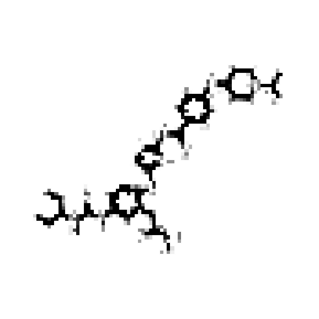 CCC(CC)NC(=O)Nc1ccc(Oc2cnc(NC(=O)c3ccc(OC4CCN(C(C)C)CC4)cc3)s2)c(CC(=O)NC)c1